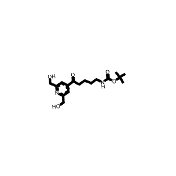 CC(C)(C)OC(=O)NCCCCC(=O)c1cc(CO)nc(CO)c1